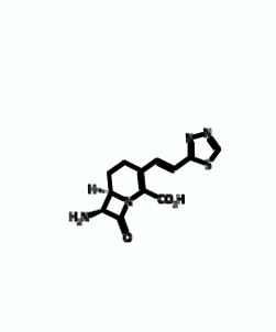 N[C@@H]1C(=O)N2C(C(=O)O)=C(C=Cc3nncs3)CC[C@H]12